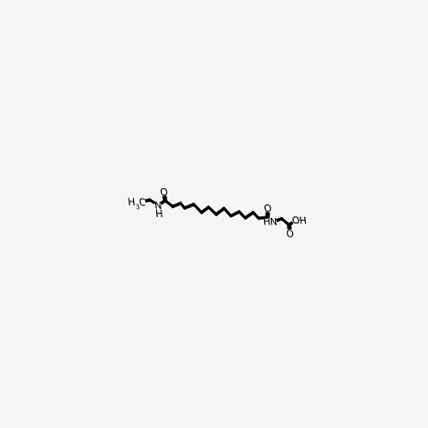 CCNC(=O)CCCCCCCCCCCCCC(=O)NCC(=O)O